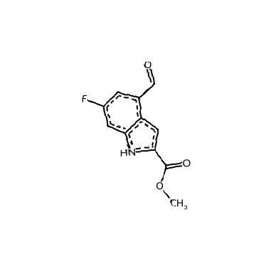 COC(=O)c1cc2c(C=O)cc(F)cc2[nH]1